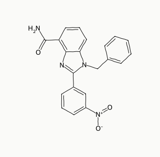 NC(=O)c1cccc2c1nc(-c1cccc([N+](=O)[O-])c1)n2Cc1ccccc1